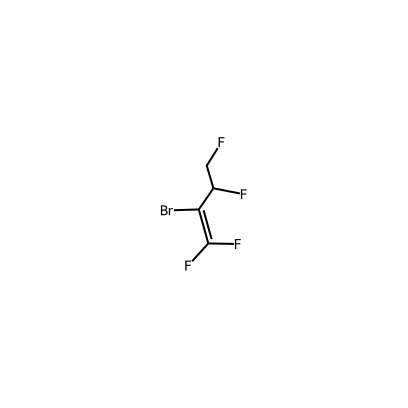 FCC(F)C(Br)=C(F)F